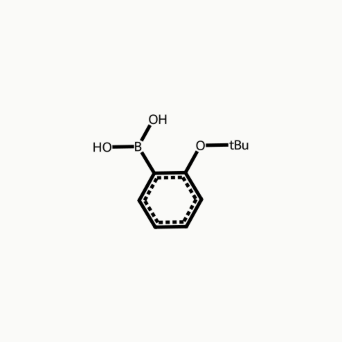 CC(C)(C)Oc1ccccc1B(O)O